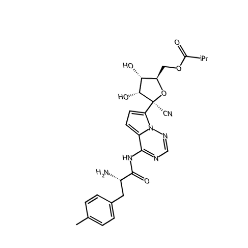 Cc1ccc(C[C@H](N)C(=O)Nc2ncnn3c([C@]4(C#N)O[C@H](COC(=O)C(C)C)[C@@H](O)[C@H]4O)ccc23)cc1